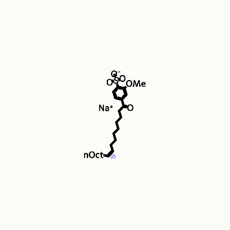 CCCCCCCC/C=C\CCCCCCCC(=O)c1ccc(S(=O)(=O)[O-])c(OC)c1.[Na+]